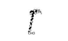 CC1(C)OC2CCOC(COCCOCCOCCOCC=O)C2O1